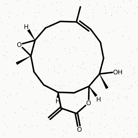 C=C1C(=O)O[C@@H]2C[C@H]1CC[C@]1(C)O[C@@H]1CC/C(C)=C\CC[C@]2(C)O